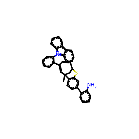 CC12C=C(c3ccccc3-n3c4ccccc4c4ccccc43)C=CC(C1)Sc1cc(-c3ccccc3N)ccc12